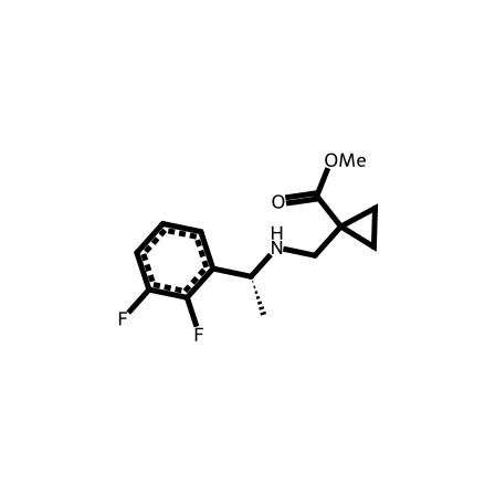 COC(=O)C1(CN[C@H](C)c2cccc(F)c2F)CC1